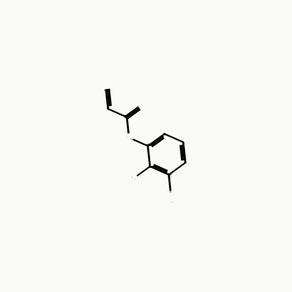 C=CC(=O)Nc1cccc(F)c1[N+](=O)[O-]